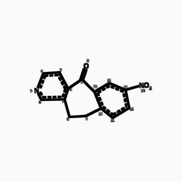 O=C1c2ccncc2CCc2ccc([N+](=O)[O-])cc21